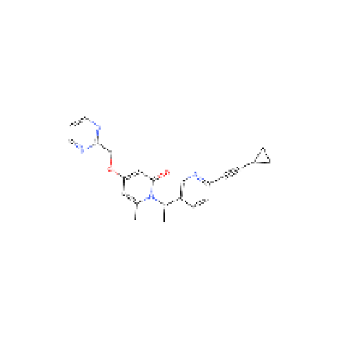 Cc1cc(OCc2ncccn2)cc(=O)n1[C@H](C)c1ccc(C#CC2CC2)nc1